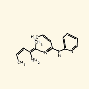 C\C=C/C(N)=C(C)/N=C(\C=C/C)Nc1ccccn1